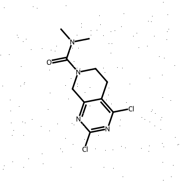 CN(C)C(=O)N1CCc2c(Cl)nc(Cl)nc2C1